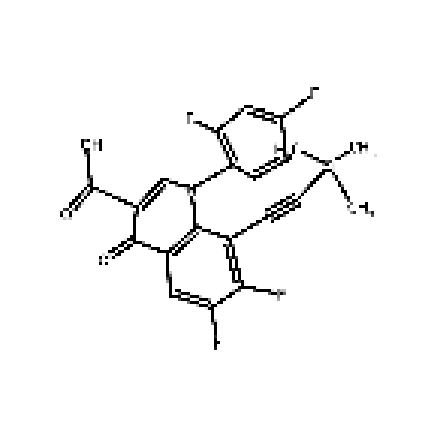 C[Si](C)(C)C#Cc1c(F)c(F)cc2c(=O)c(C(=O)O)cn(-c3ccc(F)cc3F)c12